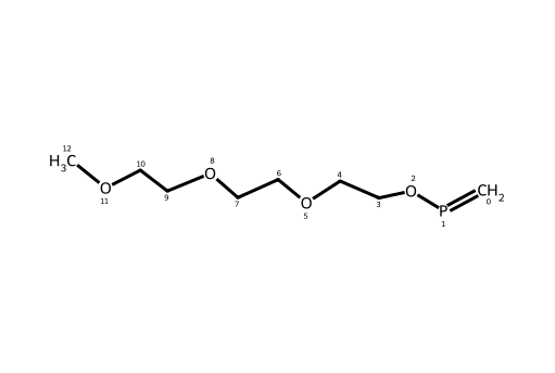 C=POCCOCCOCCOC